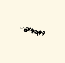 CC1Oc2cc(N3CCCC3=O)ccc2-c2cnc(Nc3cncc(NC(=O)C(CC(=O)O)Cc4ccccc4)c3)cc21